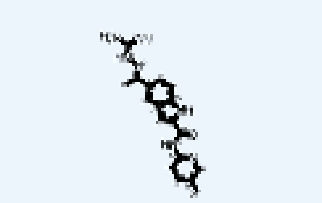 C/C(=N\NC(=N)N)c1ccc2[nH]c(C(=O)Nc3ccc(C)cn3)cc2c1